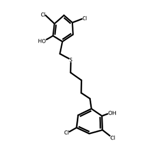 Oc1c(Cl)cc(Cl)cc1CCCCSCc1cc(Cl)cc(Cl)c1O